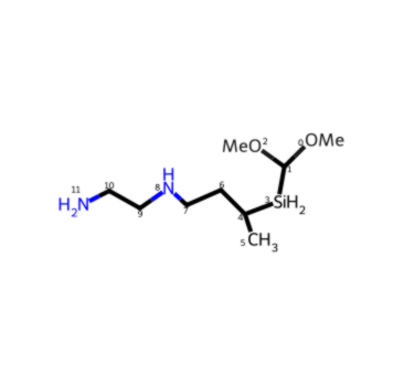 COC(OC)[SiH2]C(C)CCNCCN